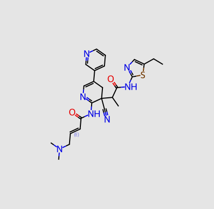 CCc1cnc(NC(=O)C(C)C2(C#N)CC(c3cccnc3)=CN=C2NC(=O)/C=C/CN(C)C)s1